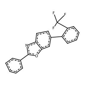 FC(F)(F)c1ccccc1-c1ccc2nc(-c3ccccc3)oc2c1